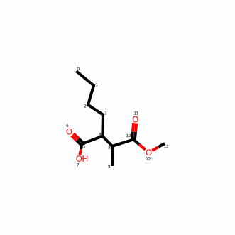 CCCCC(C(=O)O)C(C)C(=O)OC